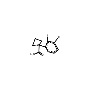 NC(=O)C1(c2cccc(Cl)c2F)CCC1